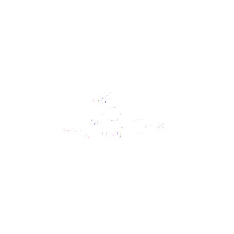 Cc1ccc(/C(=N/O)c2ccc([N+](=O)[O-])c(CNCC(=O)O)c2)cc1